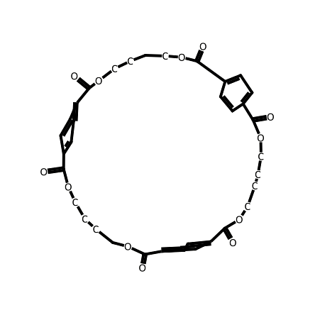 O=C1OCCCCOC(=O)c2ccc(cc2)C(=O)OCCCCOC(=O)c2ccc(cc2)C(=O)OCCCCOC(=O)c2ccc1cc2